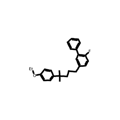 CCOc1ccc(C(C)(C)CCCc2ccc(F)c(-c3ccccc3)c2)cc1